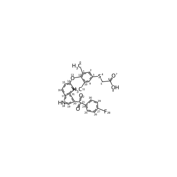 Cc1cc(SCC(=O)O)cc(C)c1Oc1ccc2[nH]cc(S(=O)(=O)c3ccc(F)cc3)c2c1